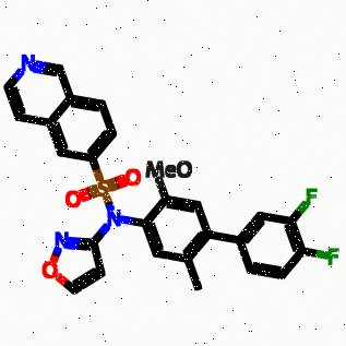 COc1cc(-c2ccc(F)c(F)c2)c(C)cc1N(c1ccon1)S(=O)(=O)c1ccc2cnccc2c1